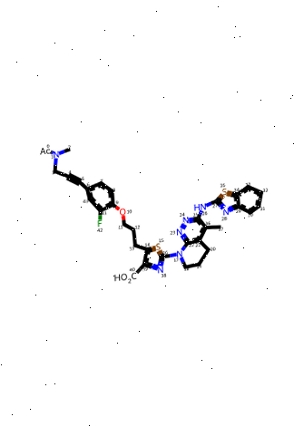 CC(=O)N(C)CC#Cc1ccc(OCCCc2sc(N3CCCc4c3nnc(Nc3nc5ccccc5s3)c4C)nc2C(=O)O)c(F)c1